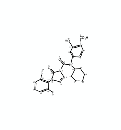 O=C(O)c1ccc(N(C(=O)n2nnn(-c3c(F)cccc3F)c2=O)C2CCCCC2)cc1O